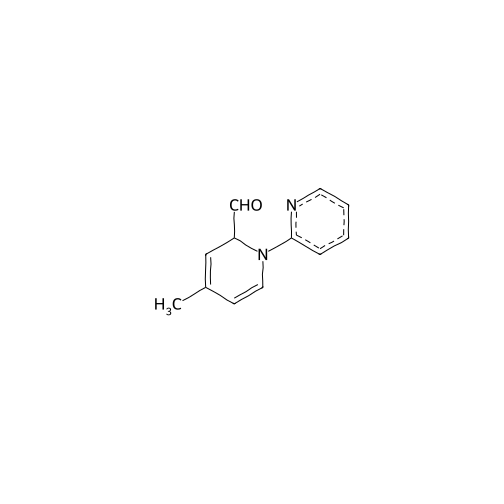 CC1=CC(C=O)N(c2ccccn2)C=C1